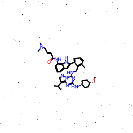 CO[C@H]1CC[C@H](Nc2nc(NCc3c(C)cccc3-c3cc4cccc(NC(=O)/C=C/CN(C)C)c4[nH]3)n3ncc(C(C)C)c3n2)CC1